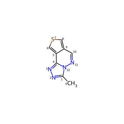 Cc1nnc2c3cscc3cnn12